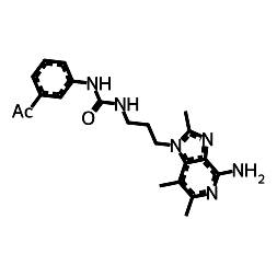 CC(=O)c1cccc(NC(=O)NCCCn2c(C)nc3c(N)nc(C)c(C)c32)c1